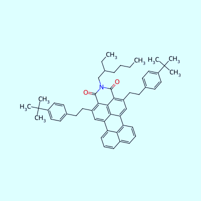 CCCCC(CC)CN1C(=O)c2c(CCc3ccc(C(C)(C)C)cc3)cc3c4cccc5cccc(c6cc(CCc7ccc(C(C)(C)C)cc7)c(c2c36)C1=O)c54